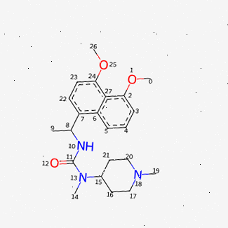 COc1cccc2c(C(C)NC(=O)N(C)C3CCN(C)CC3)ccc(OC)c12